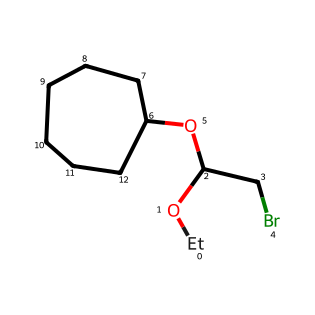 CCOC(CBr)OC1CCCCCC1